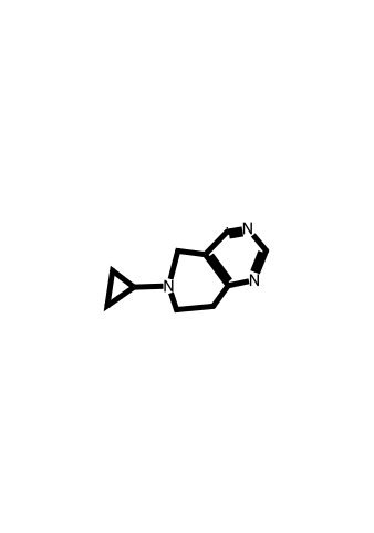 [c]1ncnc2c1CN(C1CC1)CC2